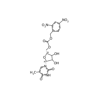 Cc1cn([C@@H]2O[C@H](COC(=O)OCc3ccc([N+](=O)[O-])cc3[N+](=O)[O-])C(O)C2O)c(=O)[nH]c1=O